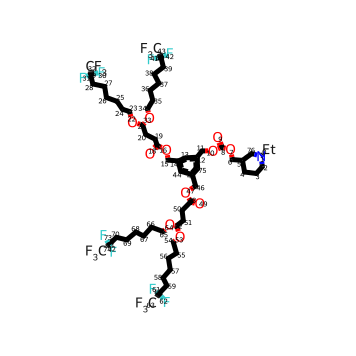 CCN1CCCC(COC(=O)OCc2cc(COC(=O)CCC(OCCCCCCC(F)(F)C(F)(F)F)OCCCCCCC(F)(F)C(F)(F)F)cc(COC(=O)CCC(OCCCCCCC(F)(F)C(F)(F)F)OCCCCCCC(F)(F)C(F)(F)F)c2)C1